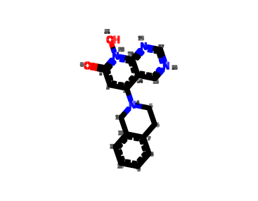 O=c1cc(N2CCc3ccccc3C2)c2cncnc2n1O